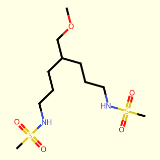 COCC([CH]CCNS(C)(=O)=O)CCCNS(C)(=O)=O